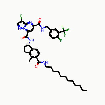 CCCCCCCCCCCCNC(=O)c1ccc2c(c1C)CC[C@@H]2NC(=O)c1cc(C(=O)NCc2ccc(F)c(C(F)(F)F)c2)nc2c(F)cnn12